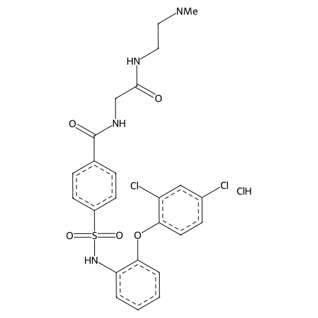 CNCCNC(=O)CNC(=O)c1ccc(S(=O)(=O)Nc2ccccc2Oc2ccc(Cl)cc2Cl)cc1.Cl